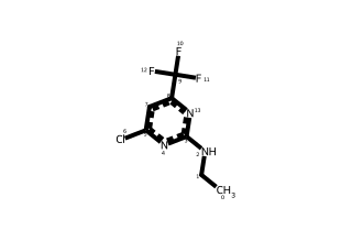 CCNc1nc(Cl)cc(C(F)(F)F)n1